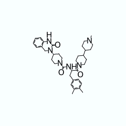 Cc1ccc(CC(NC(=O)N2CCC(N3Cc4ccccc4NC3=O)CC2)C(=O)N2CCC(C3CCN(C)CC3)CC2)cc1C